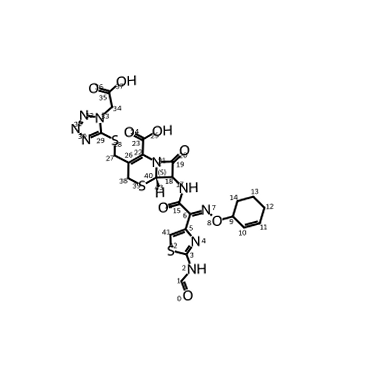 O=CNc1nc(C(=NOC2C=CCCC2)C(=O)NC2C(=O)N3C(C(=O)O)=C(CSc4nnnn4CC(=O)O)CS[C@@H]23)cs1